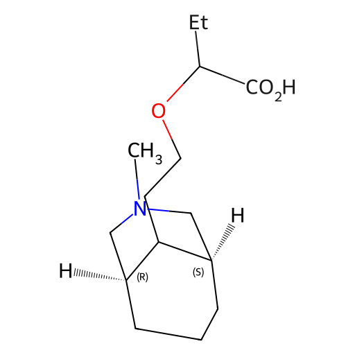 CCC(OCCC1[C@@H]2CCC[C@H]1CN(C)C2)C(=O)O